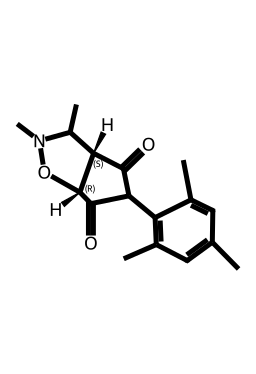 Cc1cc(C)c(C2C(=O)[C@@H]3ON(C)C(C)[C@@H]3C2=O)c(C)c1